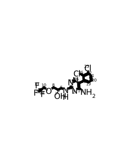 Nc1nc(NC[C@H](O)COCC(F)(F)F)nnc1-c1cccc(Cl)c1Cl